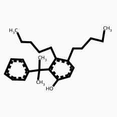 CCCCCc1ccc(O)c(C(C)(C)c2ccccc2)c1CCCCC